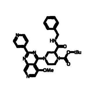 COc1cncc2nc(-c3ccncc3)nc(N3CCN(C(=O)OC(C)(C)C)C(C(=O)NCc4ccccc4)C3)c12